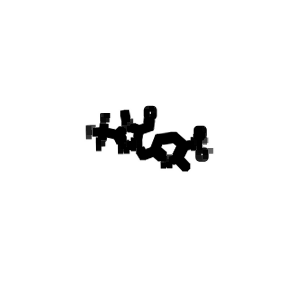 Cc1nc(CN2N=C(C(F)(F)F)N(C)C2C=O)ccc1[N+](=O)[O-]